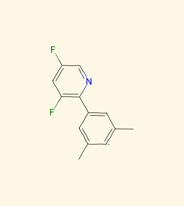 Cc1[c]c(C)cc(-c2ncc(F)cc2F)c1